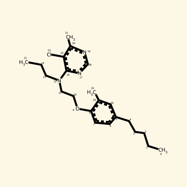 CCCCCc1ccc(OCCN(CCC)c2ncnc(C)c2Cl)c(C)c1